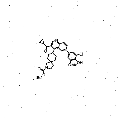 COc1cc(-c2ccc3ncc(C(=O)C4CC4)c(N4CCC5(CCN(C(=O)OC(C)(C)C)C5)CC4)c3c2)cc(Cl)c1O